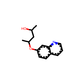 CC(O)CC(C)Oc1[c]cc2cccnc2c1